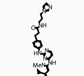 C=C(/C=C(\NC)Nc1ccnc(Nc2ccc(CCC(=O)NCCCn3ccnc3)cc2)n1)C1CC1